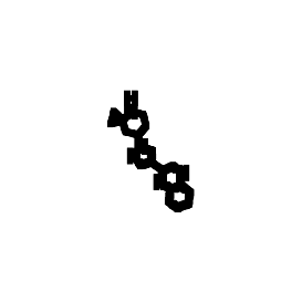 c1ccc2nc(-c3cnn(C4CCNC5(CC5)C4)c3)cnc2c1